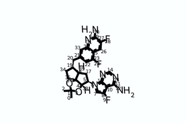 CC1(C)O[C@H]2[C@H](n3cc(F)c4c(N)ncnc43)C[C@@H]3[C@H](Cc4cc(F)c5cc(F)c(N)nc5c4)CC[C@@]32O1